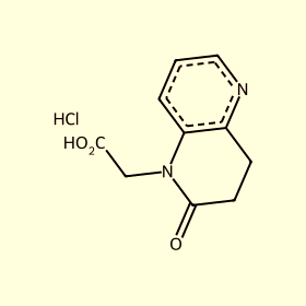 Cl.O=C(O)CN1C(=O)CCc2ncccc21